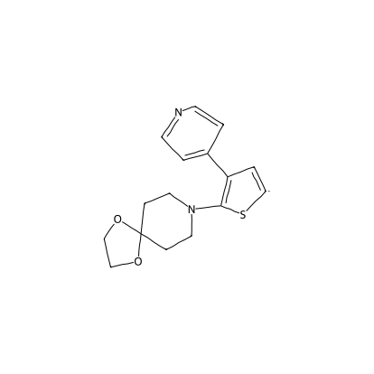 [c]1cc(-c2ccncc2)c(N2CCC3(CC2)OCCO3)s1